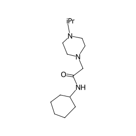 CC(C)N1CCN(CC(=O)NC2CCCCC2)CC1